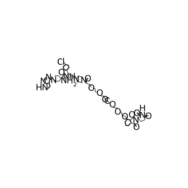 NC1(C(=O)NC(CCN2CCN(C(=O)CCOCCOCCOCCOCCOCCOc3cccc4c3C(=O)N(C3CCC(=O)NC3=O)C4=O)CC2)c2ccc(Cl)cc2)CCN(c2ncnc3[nH]ccc23)CC1